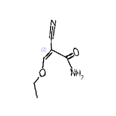 CCO/C=C(/C#N)C(N)=O